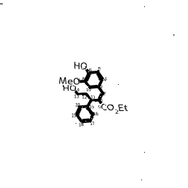 CCOC(=O)C(=Cc1ccc(O)c(OC)c1)C(CCO)c1ccccc1